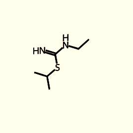 CCNC(=N)SC(C)C